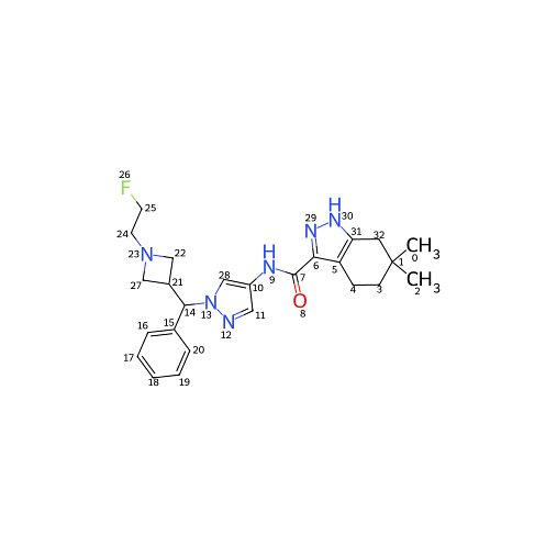 CC1(C)CCc2c(C(=O)Nc3cnn(C(c4ccccc4)C4CN(CCF)C4)c3)n[nH]c2C1